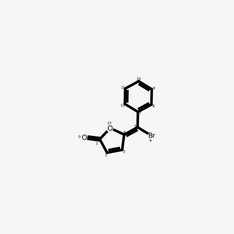 O=C1C=CC(=C(Br)c2ccccc2)O1